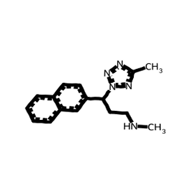 CNCCC(c1ccc2ccccc2c1)n1nnc(C)n1